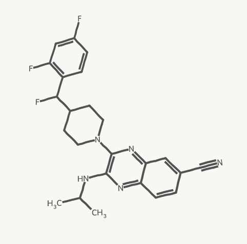 CC(C)Nc1nc2ccc(C#N)cc2nc1N1CCC(C(F)c2ccc(F)cc2F)CC1